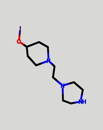 IOC1CCN(CCN2CCNCC2)CC1